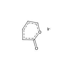 O=c1cccco1.[Ir]